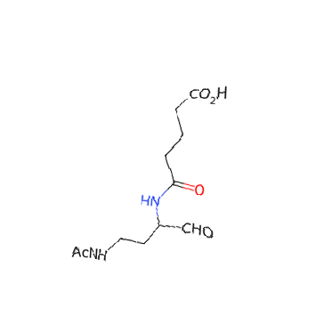 CC(=O)NCCC(C=O)NC(=O)CCCC(=O)O